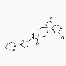 O=C1O[C@]2(CC[C@@H](C(=O)Nc3ccn(-c4ccc(F)cc4)n3)CC2)c2c[n+]([O-])ccc21